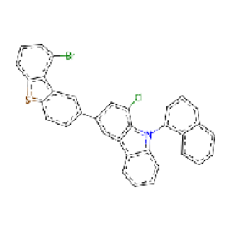 Clc1cc(-c2ccc3sc4cccc(Br)c4c3c2)cc2c3ccccc3n(-c3cccc4ccccc34)c12